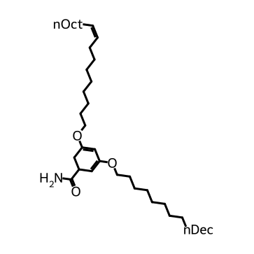 CCCCCCCC/C=C\CCCCCCCCOC1=CC(OCCCCCCCCCCCCCCCCCC)=CC(C(N)=O)C1